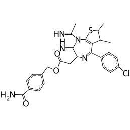 CC(=N)N1C(=N)C(CC(=O)OCc2ccc(C(N)=O)cc2)N=C(c2ccc(Cl)cc2)C2=C1SC(C)C2C